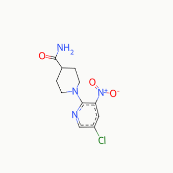 NC(=O)C1CCN(c2ncc(Cl)cc2[N+](=O)[O-])CC1